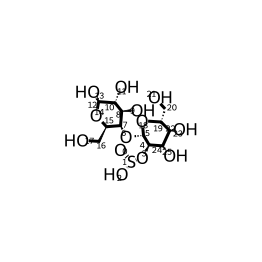 O=S(O)O[C@H]1[C@H](O[C@H]2[C@H](O)[C@@H](O)[C@H](O)O[C@@H]2CO)O[C@H](CO)[C@H](O)[C@@H]1O